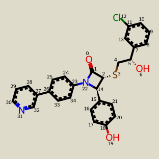 O=C1[C@H](SC[C@@H](O)c2cccc(Cl)c2)[C@@H](c2ccc(O)cc2)N1c1ccc(-c2cccnc2)cc1